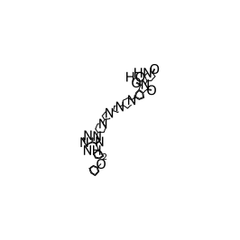 Nc1ncnc2c1c(-c1ccc(Oc3ccccc3)cc1)nn2C1CCN(C2CCN(C3CN(C4CCN(c5ccc6c(c5)C(=O)N(C5CCC(=O)NC5O)C6=O)CC4)C3)C2)CC1